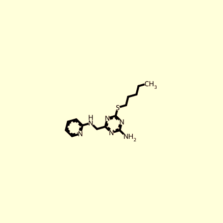 CCCCCSc1nc(N)nc(CNc2ccccn2)n1